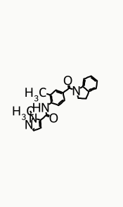 Cc1cc(C(=O)N2CCc3ccccc32)ccc1NC(=O)c1ccnn1C